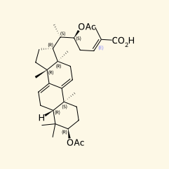 CC(=O)O[C@@H](C/C=C(\C)C(=O)O)[C@@H](C)[C@H]1CC[C@@]2(C)C3=CC[C@H]4C(C)(C)[C@H](OC(C)=O)CC[C@]4(C)C3=CC[C@]12C